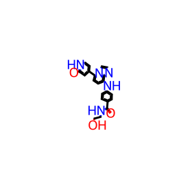 O=C(NCCO)c1ccc(Nc2ccc(-c3cc[nH]c(=O)c3)n3ccnc23)cc1